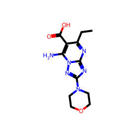 CCc1nc2nc(N3CCOCC3)nn2c(N)c1C(=O)O